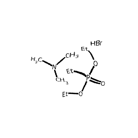 Br.CCOP(=O)(CC)OCC.CN(C)C